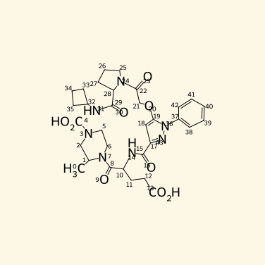 CC1CN(C(=O)O)CCN1C(=O)C(CCC(=O)O)NC(=O)c1cc(OCC(=O)N2CCCC2C(=O)NC2CCC2)n(-c2ccccc2)n1